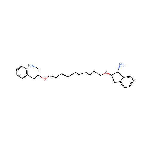 NC[C@@H](Cc1ccccc1)OCCCCCCCCCCO[C@@H]1Cc2ccccc2[C@@H]1N